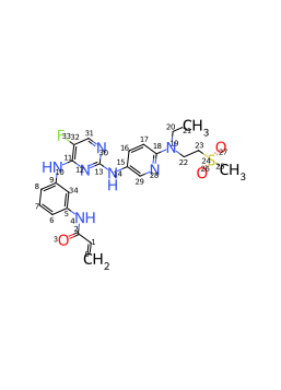 C=CC(=O)Nc1cccc(Nc2nc(Nc3ccc(N(CC)CCS(C)(=O)=O)nc3)ncc2F)c1